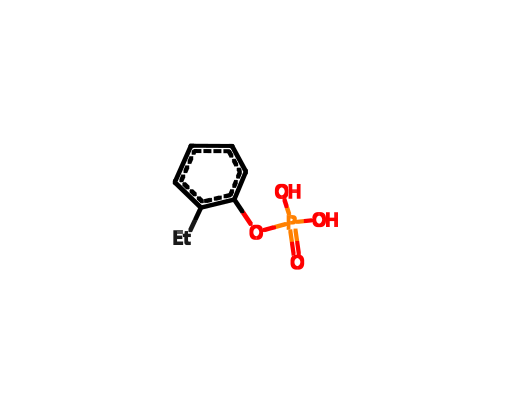 CCc1ccccc1OP(=O)(O)O